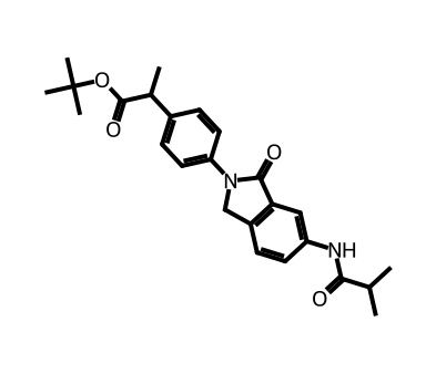 CC(C)C(=O)Nc1ccc2c(c1)C(=O)N(c1ccc(C(C)C(=O)OC(C)(C)C)cc1)C2